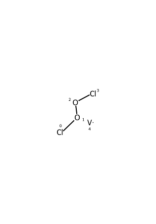 ClOOCl.[V]